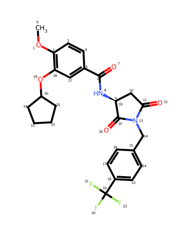 COc1ccc(C(=O)N[C@H]2CC(=O)N(Cc3ccc(C(F)(F)F)cc3)C2=O)cc1OC1CCCC1